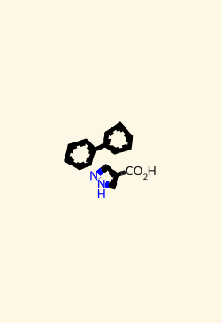 O=C(O)c1cn[nH]c1.c1ccc(-c2ccccc2)cc1